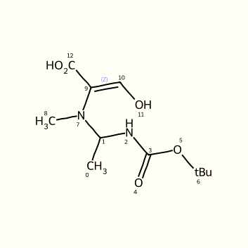 CC(NC(=O)OC(C)(C)C)N(C)/C(=C\O)C(=O)O